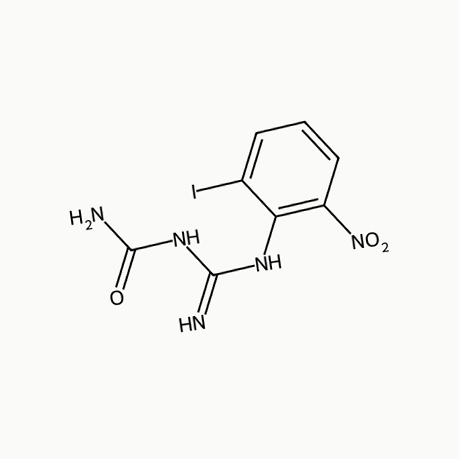 N=C(NC(N)=O)Nc1c(I)cccc1[N+](=O)[O-]